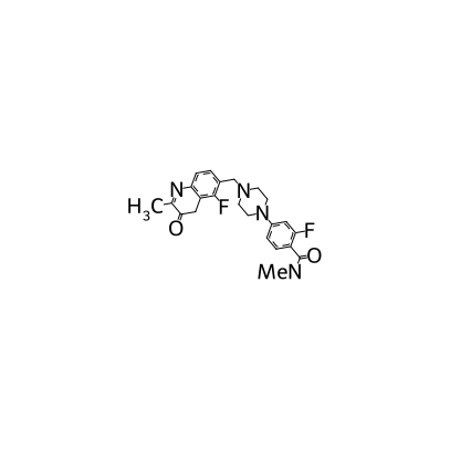 CNC(=O)c1ccc(N2CCN(Cc3ccc4c(c3F)CC(=O)C(C)=N4)CC2)cc1F